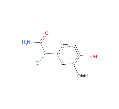 COc1cc(C(Cl)C(N)=O)ccc1O